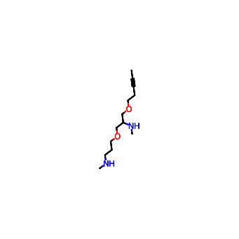 CC#CCCOCC(COCCCNC)NC